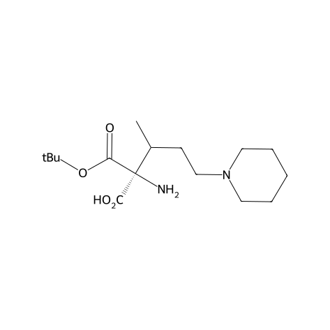 CC(CCN1CCCCC1)[C@](N)(C(=O)O)C(=O)OC(C)(C)C